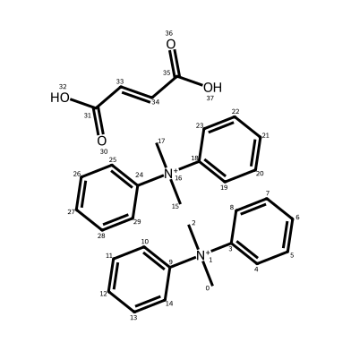 C[N+](C)(c1ccccc1)c1ccccc1.C[N+](C)(c1ccccc1)c1ccccc1.O=C(O)/C=C/C(=O)O